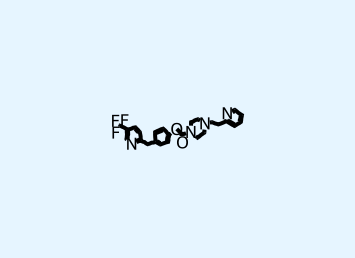 O=C(Oc1ccc(Cc2ccc(C(F)(F)F)cn2)cc1)N1CCN(CCc2ccccn2)CC1